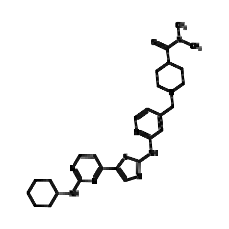 CN(C)C(=O)C1CCN(Cc2ccnc(Nc3ncc(-c4ccnc(NC5CCCCC5)n4)s3)c2)CC1